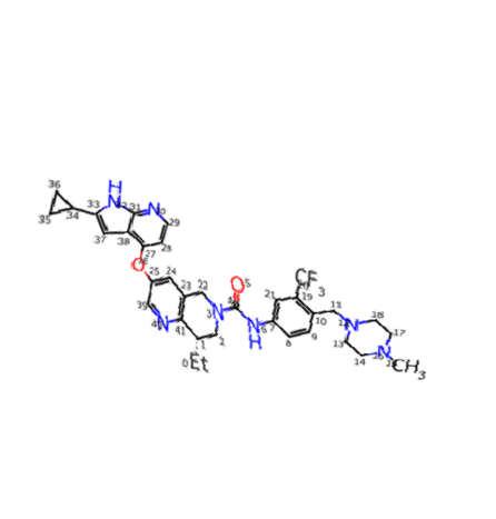 CC[C@H]1CN(C(=O)Nc2ccc(CN3CCN(C)CC3)c(C(F)(F)F)c2)Cc2cc(Oc3ccnc4[nH]c(C5CC5)cc34)cnc21